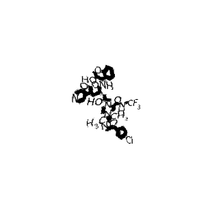 CC(C)(c1ncc(-c2ccc(Cl)cc2)o1)N1CCN(C[C@@H](O)C[C@H](Cc2coc3cnccc23)C(=O)N[C@H]2c3ccccc3OC[C@H]2O)C(C(=O)NCC(F)(F)F)C1